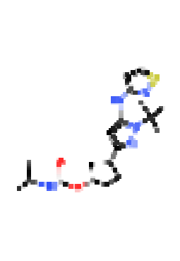 CC(C)NC(=O)O[C@H]1CC[C@@H](c2cc(Nc3ccsn3)n(C(C)(C)C)n2)C1